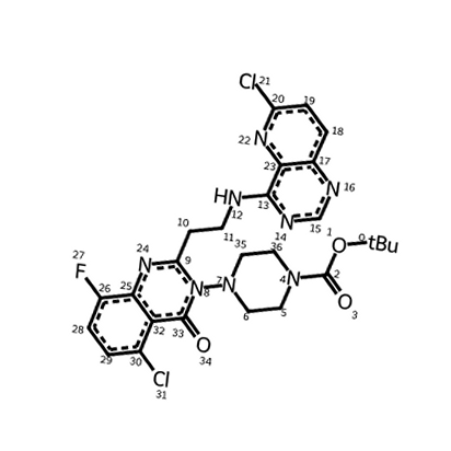 CC(C)(C)OC(=O)N1CCN(n2c(CCNc3ncnc4ccc(Cl)nc34)nc3c(F)ccc(Cl)c3c2=O)CC1